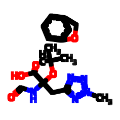 Cn1nnc(CC(NC=O)(OC(C)(C)C)C(=O)O)n1.c1cc2cc(c1)OC2